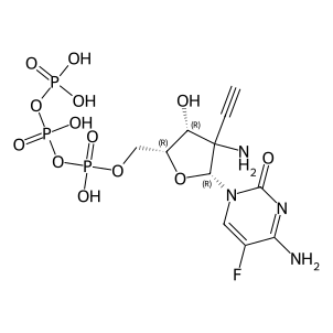 C#CC1(N)[C@@H](O)[C@@H](COP(=O)(O)OP(=O)(O)OP(=O)(O)O)O[C@H]1n1cc(F)c(N)nc1=O